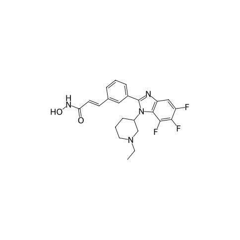 CCN1CCCC(n2c(-c3cccc(C=CC(=O)NO)c3)nc3cc(F)c(F)c(F)c32)C1